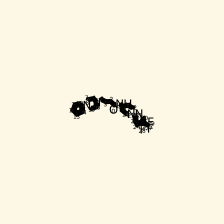 O=C(CCCN1CCN(c2ccccc2)CC1)NC1CCN(c2ccc(C(F)(F)F)cn2)CC1